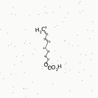 C=CC=CCCCCOC(=O)O